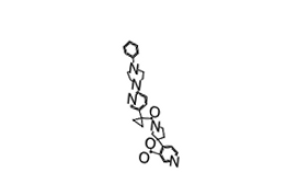 O=C1OC2(CCN(C(=O)C3(c4ccc(N5CCN(c6ccccc6)CC5)nc4)CC3)C2)c2ccncc21